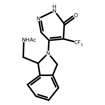 CC(=O)NCC1c2ccccc2CN1c1cn[nH]c(=O)c1C(F)(F)F